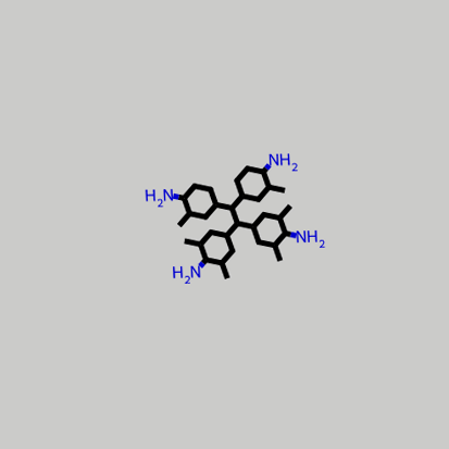 CC1CC(C(C2CCC(N)C(C)C2)C(C2CC(C)C(N)C(C)C2)C2CC(C)C(N)C(C)C2)CCC1N